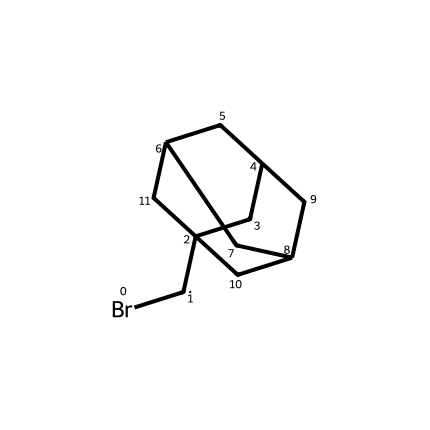 Br[CH]C12CC3CC(CC(C3)C1)C2